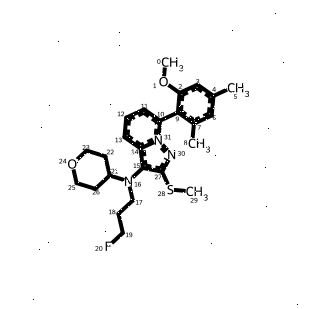 COc1cc(C)cc(C)c1-c1cccc2c(N(CCCF)C3CCOCC3)c(SC)nn12